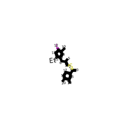 C=C(S/C=C(\C)Cc1cc(C)c(I)cc1CC)c1ccc(C)c(C)c1